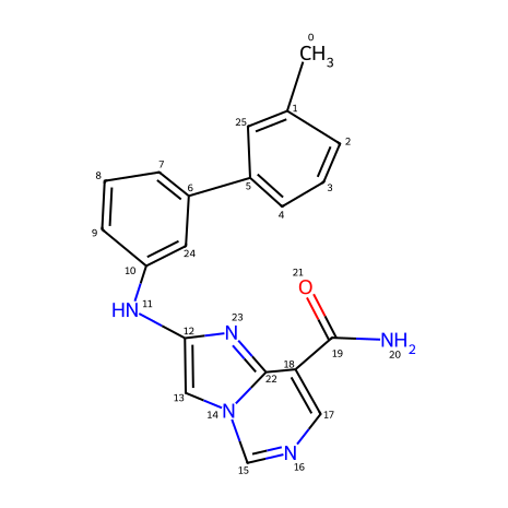 Cc1cccc(-c2cccc(Nc3cn4cncc(C(N)=O)c4n3)c2)c1